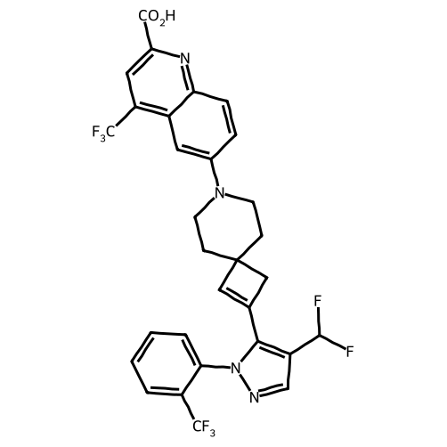 O=C(O)c1cc(C(F)(F)F)c2cc(N3CCC4(C=C(c5c(C(F)F)cnn5-c5ccccc5C(F)(F)F)C4)CC3)ccc2n1